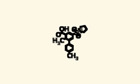 Cc1ccc(-c2cc(S(=O)(=O)N3CCCC3)cc(C(=O)O)c2C)cc1